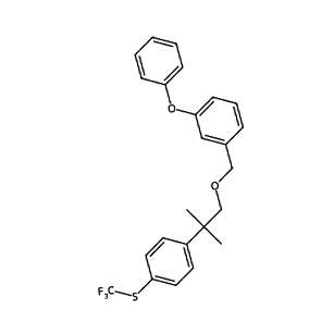 CC(C)(COCc1cccc(Oc2ccccc2)c1)c1ccc(SC(F)(F)F)cc1